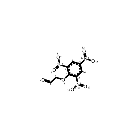 O=[C]COc1c([N+](=O)[O-])cc([N+](=O)[O-])cc1[N+](=O)[O-]